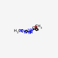 COc1ccccc1[C@H](C)CNc1cc(-c2ccc(N3CCN(C)CC3)nc2)ncn1